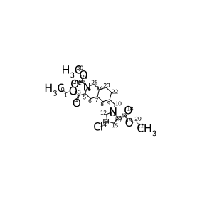 CCOC(=O)C1CC2CC(CN3C[C@@H](Cl)C[C@H]3C(=O)OCC)CCC2CN1C(=O)OC